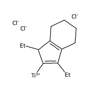 CCC1=[C]([Ti+3])C(CC)C2=C1CCCC2.[Cl-].[Cl-].[Cl-]